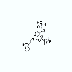 O=C(NCC(F)(F)F)OCCN(CCc1c[nH]c2ccccc12)Cc1ccc(C2C#CC2C(=O)NO)cc1